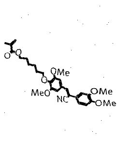 C=C(C)C(=O)OCCCCCCOc1c(OC)cc(/C=C(\C#N)c2ccc(OC)c(OC)c2)cc1OC